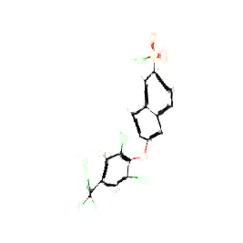 O=S(=O)(Cl)c1ccc2cc(Oc3c(Cl)cc(C(F)(F)F)cc3Cl)ccc2c1